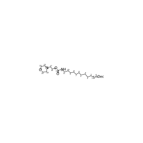 CCCCCCCCCCSCCCCCCCCCCNC(=O)OCCN1CCOCC1